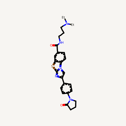 CCN(CC)CCCNC(=O)c1ccc2c(c1)sc1nc(-c3ccc(N4CCCC4=O)cc3)cn12